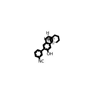 [C-]#[N+]c1cccc(-c2cc3c(cc2O)[C@]24CCCC[C@@H]2[C@H](C3)NCC4)c1